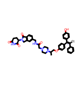 CC/C(=C(\c1ccc(O)cc1)c1ccc(OCC(C)N2CCN(CC(=O)NCc3ccc4c(c3)CN(C3CCC(=O)NC3=O)C4=O)CC2)cc1)c1ccccc1